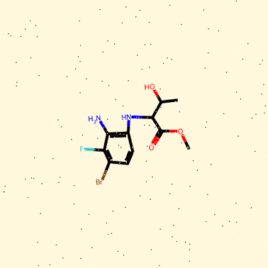 COC(=O)C(Nc1ccc(Br)c(F)c1N)C(C)O